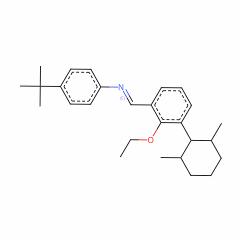 CCOc1c(/C=N/c2ccc(C(C)(C)C)cc2)cccc1C1C(C)CCCC1C